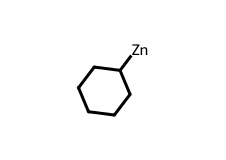 [Zn][CH]1CCCCC1